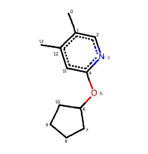 Cc1cnc(OC2CCCC2)cc1C